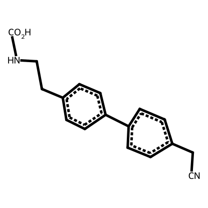 N#CCc1ccc(-c2ccc(CCNC(=O)O)cc2)cc1